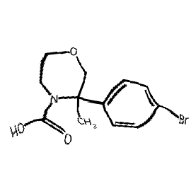 CC1(c2ccc(Br)cc2)COCCN1C(=O)O